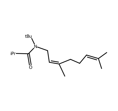 CC(C)=CCC/C(C)=C\CN(C(=O)C(C)C)C(C)(C)C